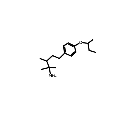 CCC(C)Oc1ccc(CCC(C)C(C)(C)N)cc1